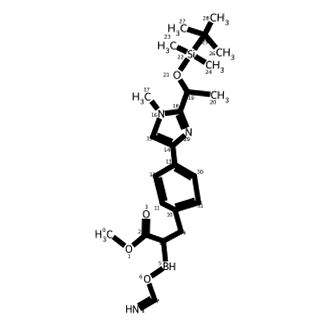 COC(=O)C(BOC=N)Cc1ccc(-c2cn(C)c(C(C)O[Si](C)(C)C(C)(C)C)n2)cc1